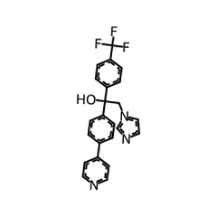 OC(Cn1ccnc1)(c1ccc(-c2ccncc2)cc1)c1ccc(C(F)(F)F)cc1